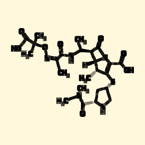 C/C(=N/OC(C)(C)C(=O)O)C(=O)NC(C)[C@H]1C(=O)N2C(C(=O)O)=C(S[C@@H]3CN[C@H](C(=O)N(C)C)C3)[C@H](C)[C@H]12